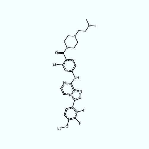 CCOc1ccc(-c2cnc3c(Nc4ccc(C(=O)N5CCN(CCN(C)C)CC5)c(CC)c4)nccn23)c(F)c1F